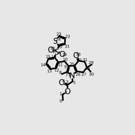 CCOC(=O)Cn1c(C)c(Cc2ccccc2S(=O)(=O)c2cccs2)c2c1CC(C)(C)CC2=O